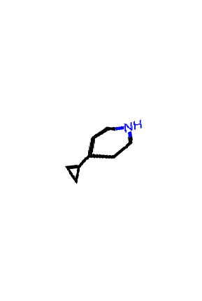 C1CC(C2CC2)CCN1